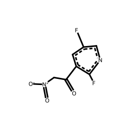 O=C(C[N+](=O)[O-])c1cc(F)cnc1F